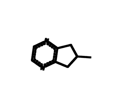 CC1Cc2nccnc2C1